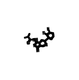 CC(C)C(=O)Nc1n[nH]c2cnc(-c3cccc(F)c3F)cc12